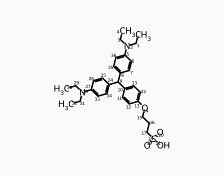 CCN(CC)c1ccc(C(c2ccc(OCCCS(=O)(=O)O)cc2)c2ccc(N(CC)CC)cc2)cc1